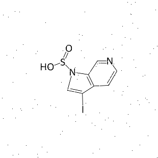 O=S(O)n1cc(I)c2ccncc21